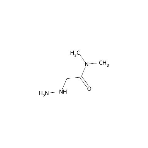 CN(C)C(=O)CNN